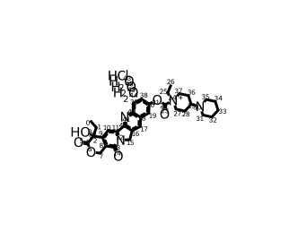 CC[C@@]1(O)C(=O)OCc2c1cc1n(c2=O)Cc2cc3cc(OC(=O)[N+]4(CC)CCC(N5CCCCC5)CC4)ccc3nc2-1.Cl.O.O.O